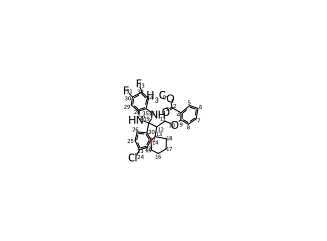 COC(=O)c1ccccc1OCC(C1CCCCC1)C1(c2ccc(Cl)cc2)Nc2cc(F)c(F)cc2N1